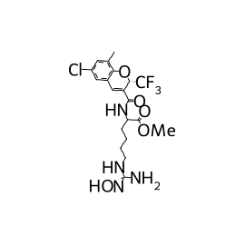 COC(=O)C(CCCCN/C(N)=N\O)NC(=O)C1=Cc2cc(Cl)cc(C)c2O[C@@H]1C(F)(F)F